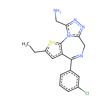 CCc1cc2c(s1)-n1c(CN)nnc1CN=C2c1cccc(Cl)c1